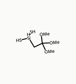 COC(C[SiH](S)S)(OC)OC